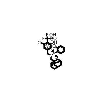 COc1ccccc1S(=O)(=O)N(Cc1ccc(C(F)(F)P(=O)(O)O)c(Cl)c1)CC12CC3CC(CC(C3)C1)C2